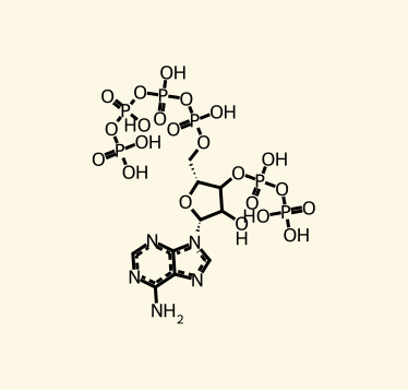 Nc1ncnc2c1ncn2[C@@H]1O[C@H](COP(=O)(O)OP(=O)(O)OP(=O)(O)OP(=O)(O)O)C(OP(=O)(O)OP(=O)(O)O)C1O